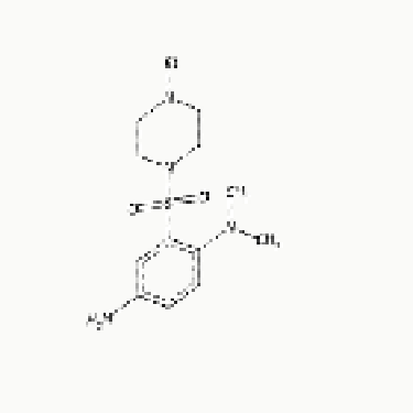 CCN1CCN(S(=O)(=O)c2cc(N)ccc2N(C)C)CC1